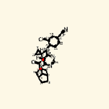 CC1(OC(=O)N2CC3CCC(C2)C3Oc2ncnc(Nc3ccc(C#N)cc3Cl)c2F)CC1